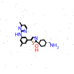 Cc1cc(Nc2nccc(C)n2)cc(-c2cnc([C@]3(O)CC[C@H](CN)CC3)s2)c1